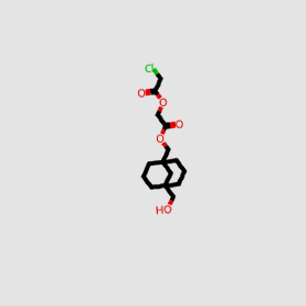 O=C(CCl)OCC(=O)OCC12CCCC(CO)(CCC1)C2